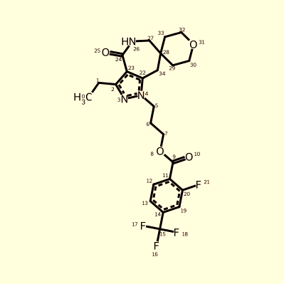 CCc1nn(CCCOC(=O)c2ccc(C(F)(F)F)cc2F)c2c1C(=O)NCC1(CCOCC1)C2